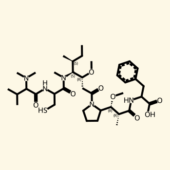 CC[C@H](C)[C@@H]([C@@H](CC(=O)N1CCCC1[C@H](OC)[C@@H](C)C(=O)NC(Cc1ccccc1)C(=O)O)OC)N(C)C(=O)C(CS)NC(=O)C(C(C)C)N(C)C